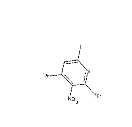 CC(C)c1cc(I)nc(C(C)C)c1[N+](=O)[O-]